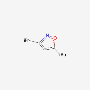 CC(C)c1cc(C(C)(C)C)on1